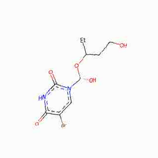 CCC(CCO)O[C@H](O)n1cc(Br)c(=O)[nH]c1=O